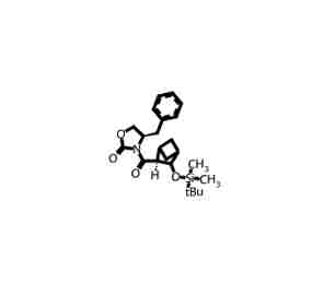 CC(C)(C)[Si](C)(C)OC1C2CC(C2)[C@@H]1C(=O)N1C(=O)OC[C@H]1Cc1ccccc1